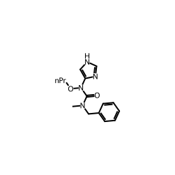 CCCON(C(=O)N(C)Cc1ccccc1)c1c[nH]cn1